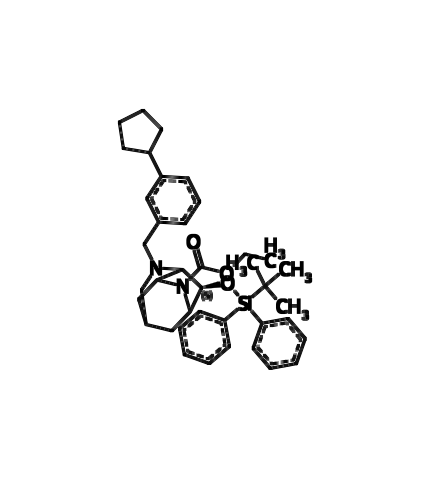 CCOC(=O)N1C2CC3CC1[C@H](O[Si](c1ccccc1)(c1ccccc1)C(C)(C)C)C2N(Cc1cccc(C2CCCC2)c1)C3